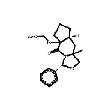 COCNC12CCC[C@@H]1CC1(C)CO[C@H](c3ccccc3)N1C2=O